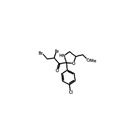 COCC1CNC(C(=O)C(Br)CBr)(c2ccc(Cl)cc2)O1